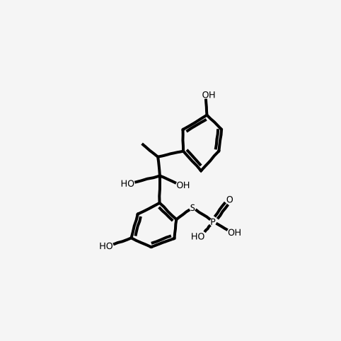 CC(c1cccc(O)c1)C(O)(O)c1cc(O)ccc1SP(=O)(O)O